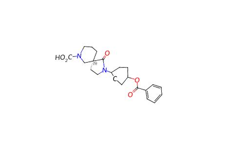 O=C(OC1CCC(N2CC[C@]3(CCCN(C(=O)O)C3)C2=O)CC1)c1ccccc1